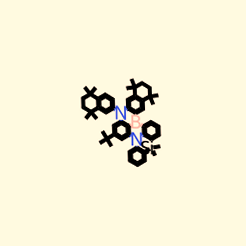 CC(C)(C)c1cc2c3c(c1)N1c4ccccc4[Si](C)(C)c4cccc(c41)B3c1cc3c(cc1N2c1ccc2c(c1)C(C)(C)CCC2(C)C)C(C)(C)CCC3(C)C